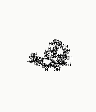 CCC(C)(CCN(CCN(CCN(CCN(CCN(CCN(CC(=O)O)CC(=O)O)CCN(CC(=O)O)CC(O)O)CCN(CC(=O)O)CC(C)(C)CN(CC(=O)O)CC(O)O)CCN(CCN(CC(=O)O)CC(O)O)CC(=O)O)CC(=O)O)CCN(CC(=O)O)CC(=O)O)N(CC(=O)O)CC(=O)O